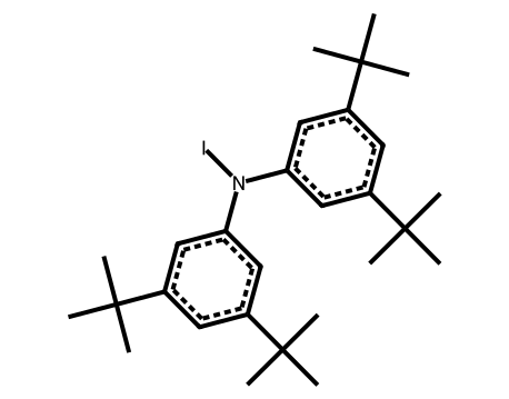 CC(C)(C)c1cc(N(I)c2cc(C(C)(C)C)cc(C(C)(C)C)c2)cc(C(C)(C)C)c1